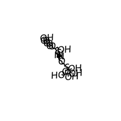 OCC1OC(SCCCOCc2cn(CC3C(O)CC3COOOOOOO)nn2)C(O)C(O)C1O